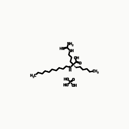 CCCCCCCCCCN[C@@](CCCCCC)(CCCNC(=N)N)C(=O)O.O=P(O)(O)O